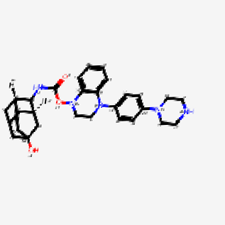 O=C(NC1[C@@H]2CC3C[C@H]1CC(O)(C3)C2)ON1CCN(c2ccc(N3CCNCC3)cc2)c2ccccc21